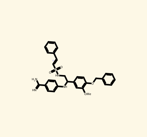 COc1cc(C(CNS(=O)(=O)/C=C/c2ccccc2)Nc2ccc(C(=N)N)cc2)ccc1OCc1ccccc1